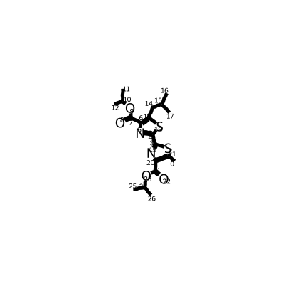 Cc1sc(-c2nc(C(=O)OC(C)C)c(CC(C)C)s2)nc1C(=O)OC(C)C